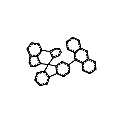 c1ccc2c(c1)-c1ccc(-c3c4ccccc4cc4ccccc34)cc1C21c2ccccc2-c2cccc3cccc1c23